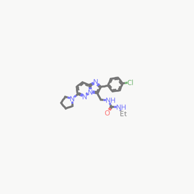 CCNC(=O)NCc1c(-c2ccc(Cl)cc2)nc2ccc(N3CCCC3)nn12